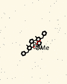 COc1ccccc1P(c1c(-c2c(C)cc(Cc3ccccc3)cc2C)cccc1-c1c(C)cc(Cc2ccccc2)cc1C)C(C)(C)C